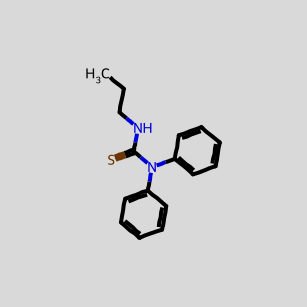 CCCNC(=S)N(c1ccccc1)c1ccccc1